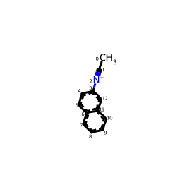 CC#[N+]c1ccc2ccccc2c1